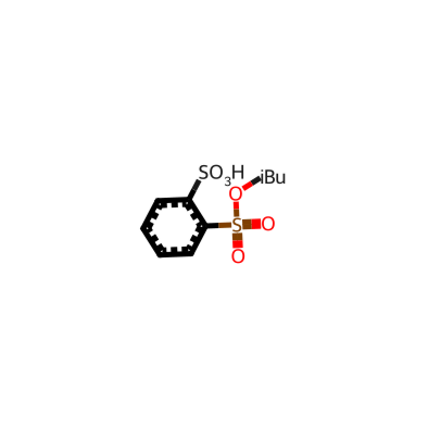 CCC(C)OS(=O)(=O)c1ccccc1S(=O)(=O)O